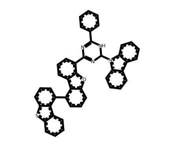 c1ccc(C2=NC(c3cccc4c3oc3cccc(-c5cccc6sc7ccccc7c56)c34)=NC(n3c4ccccc4c4ccccc43)N2)cc1